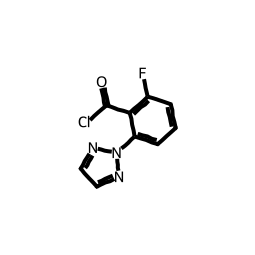 O=C(Cl)c1c(F)cccc1-n1nccn1